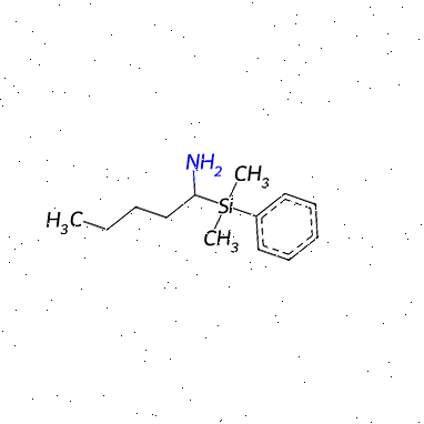 CCCCC(N)[Si](C)(C)c1ccccc1